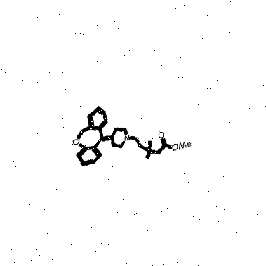 COC(=O)CC(C)(C)CCN1CCC(=C2c3ccccc3COc3ccccc32)CC1